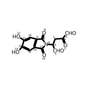 O=CC(=O)CC(C=O)N1C(=O)c2cc(O)c(O)cc2C1=O